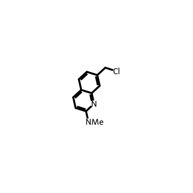 CNc1ccc2ccc(CCl)cc2n1